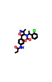 CCC(=O)Nc1ccc(-c2onc(C)c2N(C(=O)O)C(C)c2ccccc2Cl)cc1